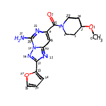 COC1CCN(C(=O)c2cc3nc(-c4ccco4)nn3c(N)n2)CC1